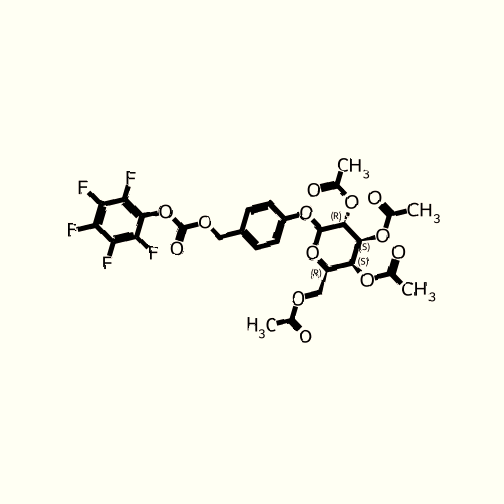 CC(=O)OC[C@H]1OC(Oc2ccc(COC(=O)Oc3c(F)c(F)c(F)c(F)c3F)cc2)[C@H](OC(C)=O)[C@@H](OC(C)=O)[C@H]1OC(C)=O